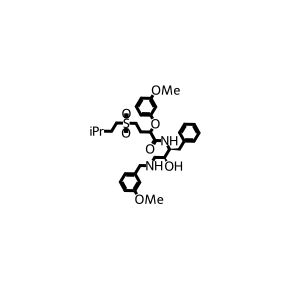 COc1cccc(CNC[C@H](O)[C@H](Cc2ccccc2)NC(=O)C(CCS(=O)(=O)CCC(C)C)Oc2cccc(OC)c2)c1